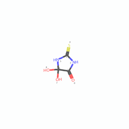 O=C1NC(=S)NC1(O)O